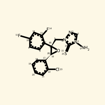 Nn1cnn(C[C@@]2(c3ccc(F)cc3F)O[C@@H]2c2ccccc2Cl)c1=S